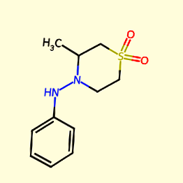 CC1CS(=O)(=O)CCN1Nc1ccccc1